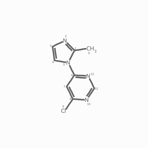 Cc1nccn1-c1cc(Cl)ncn1